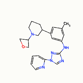 Cc1cc(Nc2ncn(-c3ccccn3)n2)cc(C2CCCN(C3COC3)C2)c1